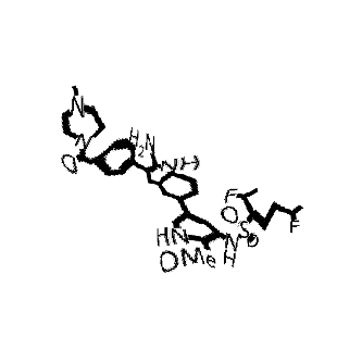 COC1NCC(C2CCC3NC(N)=C(c4ccc(C(=O)N5CCN(C)CC5)cc4)CC3C2)=CC1NS(=O)(=O)/C(=C/CC(C)F)C(C)F